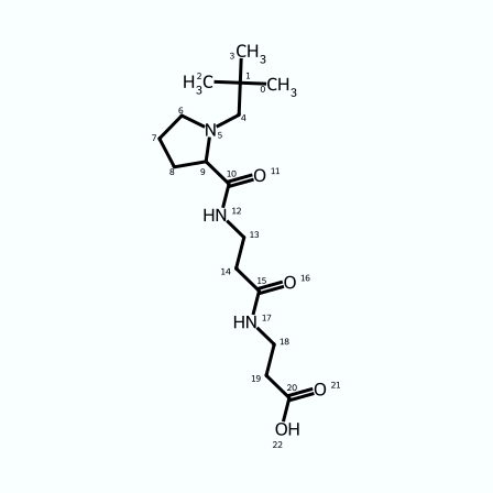 CC(C)(C)CN1CCCC1C(=O)NCCC(=O)NCCC(=O)O